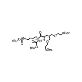 CCCCCCCCCCCCOCC(CNC(=O)[C@H](CCCCNC(=O)OC(C)(C)C)NC(=O)OC(C)(C)C)COCCCCCCCCCCCC